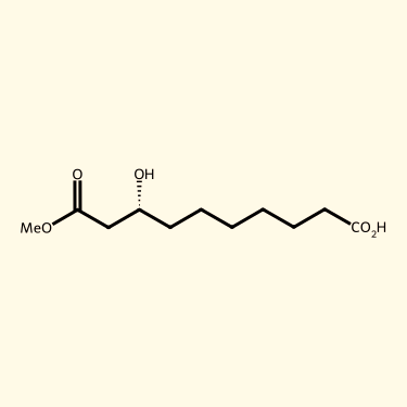 COC(=O)C[C@H](O)CCCCCCC(=O)O